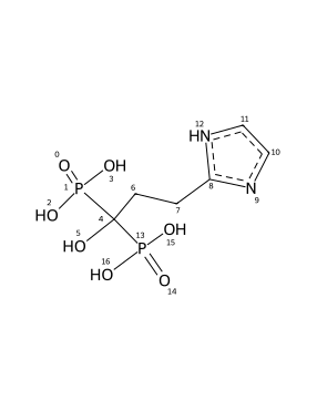 O=P(O)(O)C(O)(CCc1ncc[nH]1)P(=O)(O)O